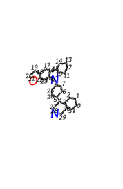 c1ccc2c(-c3ccc(-n4c5ccccc5c5cc6ccoc6cc54)cc3)cncc2c1